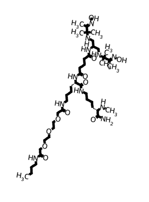 CCCCNC(=O)COCCOCCOCC(=O)NCCCC[C@H](NC(=O)CCCC(=O)NC(CNC(C)(C)/C(C)=N/O)CNC(C)(C)/C(C)=N/O)C(=O)NCCCC[C@H](NC)C(N)=O